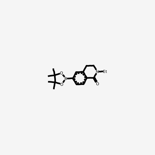 CCN1CCc2cc(B3OC(C)(C)C(C)(C)O3)ccc2C1=O